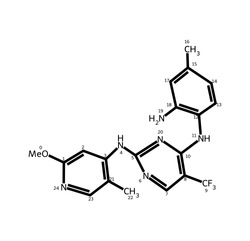 COc1cc(Nc2ncc(C(F)(F)F)c(Nc3ccc(C)cc3N)n2)c(C)cn1